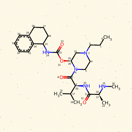 CCCN1CCN(C(=O)[C@@H](NC(=O)[C@H](C)NC)C(C)C)[C@@H](OC(=O)NC2CCCc3ccccc32)C1